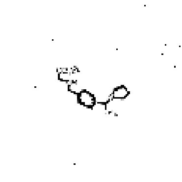 CCOC(=O)CNCc1ccc(C(C)N2CCCC2)cc1